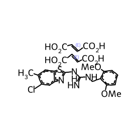 COc1cccc(OC)c1CNC(=N)Nc1nc2cc(Cl)c(C)cc2s1.O=C(O)/C=C/C(=O)O.O=C(O)/C=C/C(=O)O